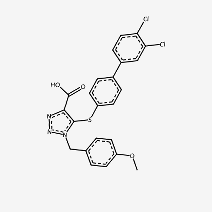 COc1ccc(Cn2nnc(C(=O)O)c2Sc2ccc(-c3ccc(Cl)c(Cl)c3)cc2)cc1